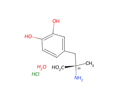 C[C@](N)(Cc1ccc(O)c(O)c1)C(=O)O.Cl.O